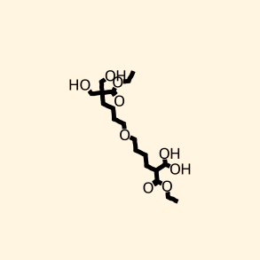 CCOC(=O)C(CCCCOCCCCC(CO)(CO)C(=O)OCC)C(O)O